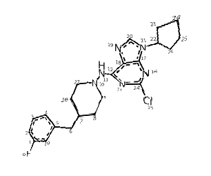 Fc1cccc(CC2CCN(Nc3nc(Cl)nc4c3ncn4C3CCCC3)CC2)c1